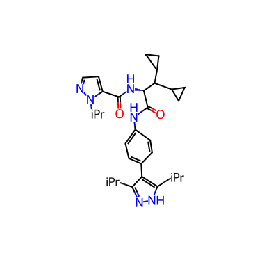 CC(C)c1n[nH]c(C(C)C)c1-c1ccc(NC(=O)[C@@H](NC(=O)c2ccnn2C(C)C)C(C2CC2)C2CC2)cc1